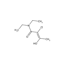 CCN(CC)C(=O)C(Cl)=C(C)O